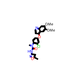 COc1cc2nccc(Oc3ccc(N(C)C(=O)Nc4cc(C)on4)c(Cl)c3)c2cc1OC